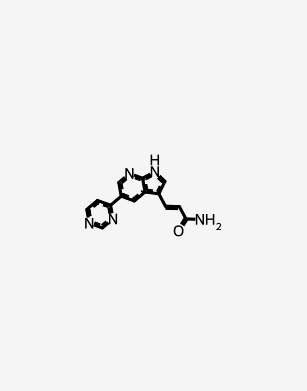 NC(=O)C=Cc1c[nH]c2ncc(-c3ccncn3)cc12